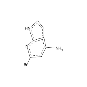 Nc1cc(Br)nc2[nH]ccc12